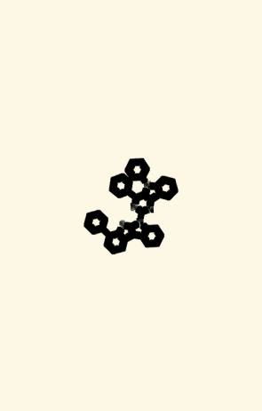 c1ccc(-c2cccc3c2sc2c3c3ccccc3n2-c2nc(-c3ccccc3)c3c(n2)c2ccccc2n3-c2ccccc2)cc1